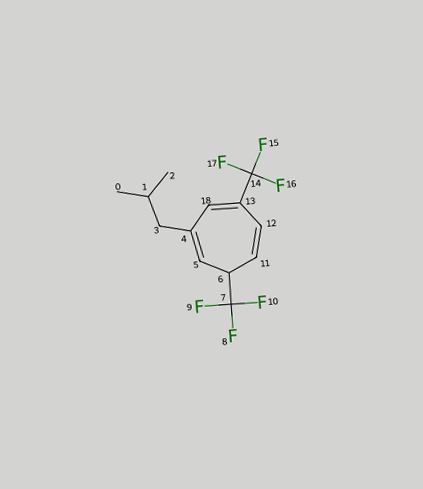 CC(C)CC1=CC(C(F)(F)F)C=CC(C(F)(F)F)=C1